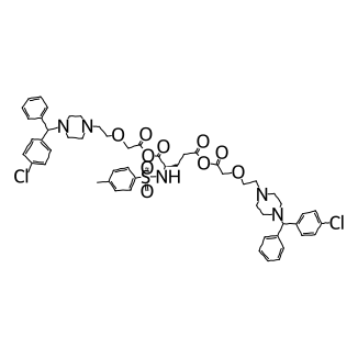 Cc1ccc(S(=O)(=O)N[C@H](CCC(=O)OC(=O)COCCN2CCN(C(c3ccccc3)c3ccc(Cl)cc3)CC2)C(=O)OC(=O)COCCN2CCN(C(c3ccccc3)c3ccc(Cl)cc3)CC2)cc1